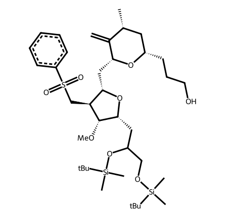 C=C1[C@H](C)C[C@H](CCCO)O[C@@H]1C[C@@H]1O[C@H](CC(CO[Si](C)(C)C(C)(C)C)O[Si](C)(C)C(C)(C)C)[C@H](OC)[C@H]1CS(=O)(=O)c1ccccc1